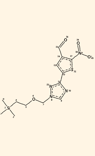 C[Si](C)(C)CCOCn1cnc(-c2cc(C=O)c([N+](=O)[O-])s2)n1